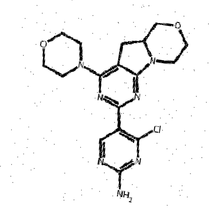 Nc1ncc(-c2nc(N3CCOCC3)c3c(n2)N2CCOCC2C3)c(Cl)n1